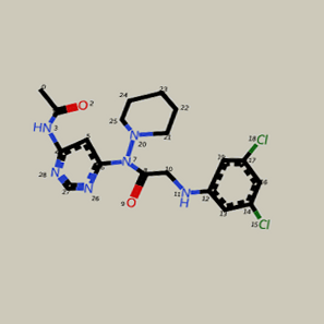 CC(=O)Nc1cc(N(C(=O)CNc2cc(Cl)cc(Cl)c2)N2CCCCC2)ncn1